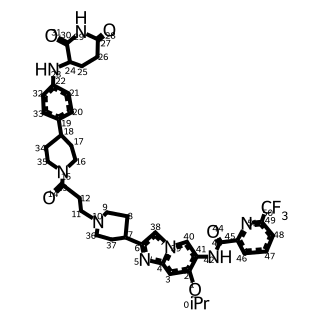 CC(C)Oc1cc2nc(C3CCN(CCC(=O)N4CCC(c5ccc(NC6CCC(=O)NC6=O)cc5)CC4)CC3)cn2cc1NC(=O)c1cccc(C(F)(F)F)n1